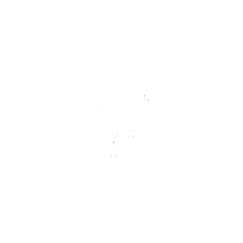 O=[N+]([O-])c1ccc(-c2ccccc2OS(=O)(=O)P(=O)=O)cc1